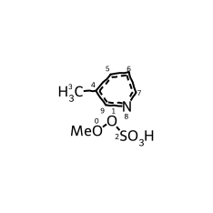 COOS(=O)(=O)O.Cc1cccnc1